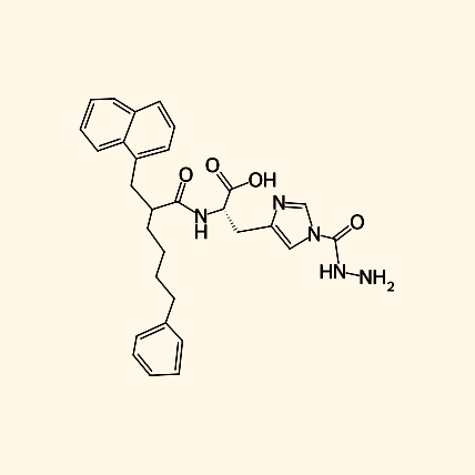 NNC(=O)n1cnc(C[C@H](NC(=O)C(CCCCc2ccccc2)Cc2cccc3ccccc23)C(=O)O)c1